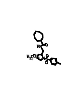 Cc1ccc(S(=O)(=O)N2CCCC2CNC(=O)[C]2CCCCCCC2)cc1.[CH2].[CH2]